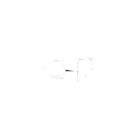 c1ccc([C@@]23CNCC2C3)cc1